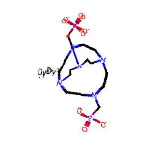 O=P([O-])([O-])CN1CCN2CCN(CP(=O)([O-])[O-])CCN(CC1)CCN(CP(=O)([O-])[O-])CC2.[Dy+3].[Dy+3]